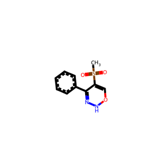 CS(=O)(=O)C1=CONN=C1c1ccccc1